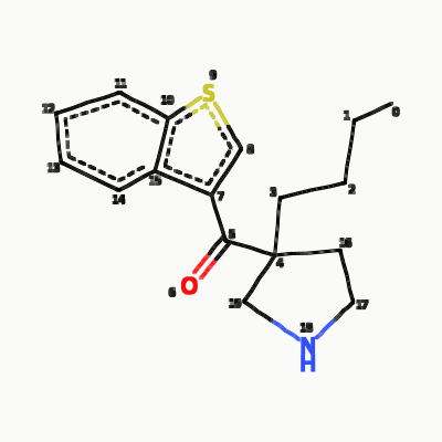 CCCCC1(C(=O)c2csc3ccccc23)CCNC1